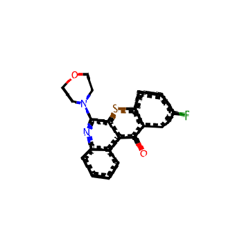 O=c1c2cc(F)ccc2sc2c(N3CCOCC3)nc3ccccc3c12